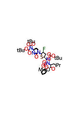 COC(=O)C(CC(C)C)NP(=O)(OC[C@H]1S[C@@H](n2ccc(N(C(=O)OC(C)(C)C)C(=O)OC(C)(C)C)nc2=O)[C@@H](F)[C@@H]1OC(=O)OC(C)(C)C)Oc1ccccc1